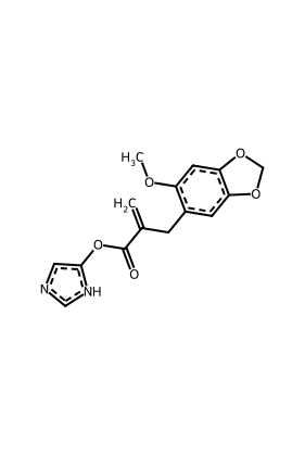 C=C(Cc1cc2c(cc1OC)OCO2)C(=O)Oc1cnc[nH]1